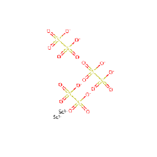 O=S(=O)([O-])S(=O)(=O)[O-].O=S(=O)([O-])S(=O)(=O)[O-].O=S(=O)([O-])S(=O)(=O)[O-].[Sc+3].[Sc+3]